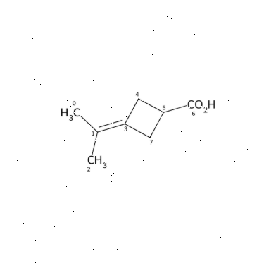 CC(C)=C1CC(C(=O)O)C1